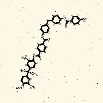 COc1ccc(C(C)(C)c2ccc(OC(=O)c3ccc(C(=O)Oc4ccc(Cc5ccc(OC(=O)c6ccc(C(C)=O)cc6)cc5)cc4)cc3)c(C)c2)cc1C